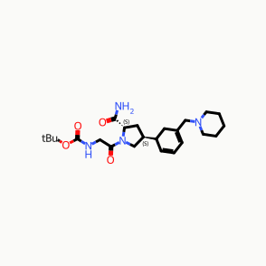 CC(C)(C)OC(=O)NCC(=O)N1C[C@H](C2C=CC=C(CN3CCCCC3)C2)C[C@H]1C(N)=O